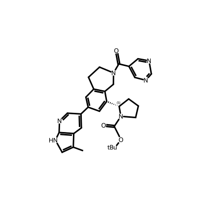 Cc1c[nH]c2ncc(-c3cc4c(c([C@@H]5CCCN5C(=O)OC(C)(C)C)c3)CN(C(=O)c3cncnc3)CC4)cc12